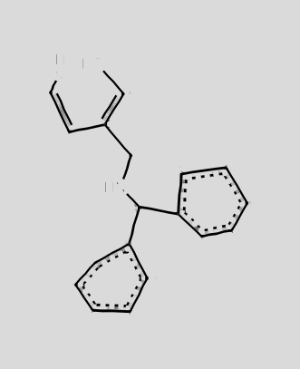 C/C=C\C(=C/C)CNC(c1ccccc1)c1ccccc1